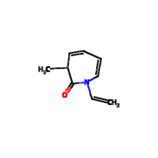 C=CN1C=CC=CC(C)C1=O